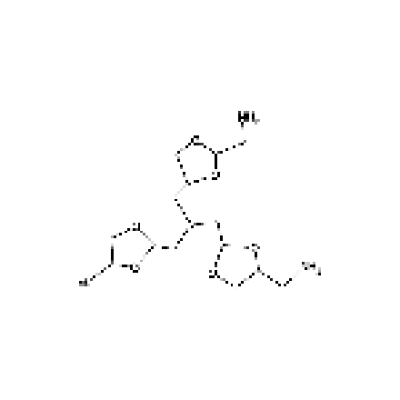 CCC1COC(CN(CC2COC(CN)O2)CC2OCC(CN)O2)O1